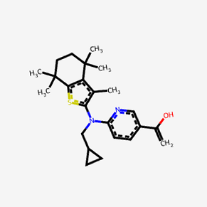 C=C(O)c1ccc(N(CC2CC2)c2sc3c(c2C)C(C)(C)CCC3(C)C)nc1